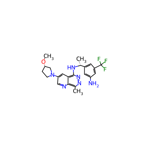 CO[C@H]1CCN(c2cnc3c(C)nnc(N[C@H](C)c4cc(N)cc(C(F)(F)F)c4)c3c2)C1